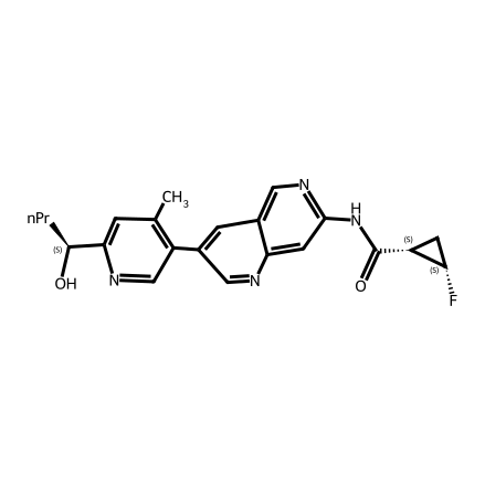 CCC[C@H](O)c1cc(C)c(-c2cnc3cc(NC(=O)[C@@H]4C[C@@H]4F)ncc3c2)cn1